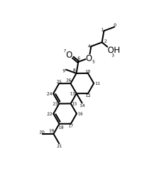 CCC(O)COC(=O)C1(C)CCCC2(C)C3CCC(C(C)C)=CC3=CCC12